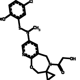 COc1ccc(Cl)cc1SN(C)c1cnc2c(c1)CN(C(=O)CO)C1(CC1)CO2